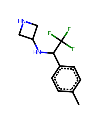 Cc1ccc(C(NC2CNC2)C(F)(F)F)cc1